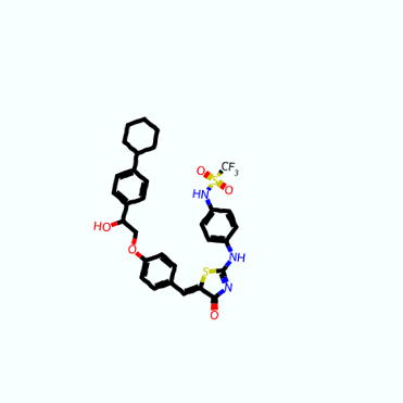 O=C1N=C(Nc2ccc(NS(=O)(=O)C(F)(F)F)cc2)SC1=Cc1ccc(OCC(O)c2ccc(C3CCCCC3)cc2)cc1